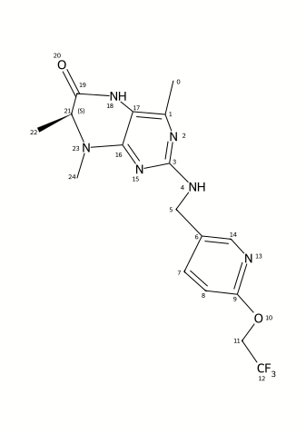 Cc1nc(NCc2ccc(OCC(F)(F)F)nc2)nc2c1NC(=O)[C@H](C)N2C